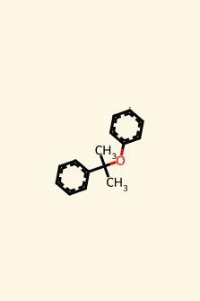 CC(C)(Oc1cc[c]cc1)c1ccccc1